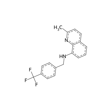 Cc1ccc2cccc(NCc3ccc(C(F)(F)F)cc3)c2n1